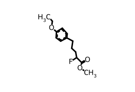 CCOc1ccc(CCCC(F)C(=O)OC)cc1